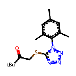 Cc1cc(C)c(-n2nnnc2SCC(=O)C(C)(C)C)c(C)c1